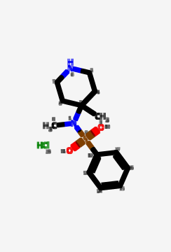 CN(C1(C)CCNCC1)S(=O)(=O)c1ccccc1.Cl